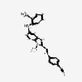 Cn1c(COc2ccc(C#N)cc2)nc2cc(Nc3ccccc3N)ccc21